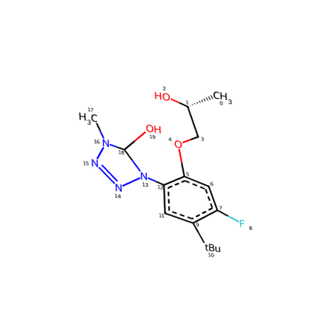 C[C@@H](O)COc1cc(F)c(C(C)(C)C)cc1N1N=NN(C)C1O